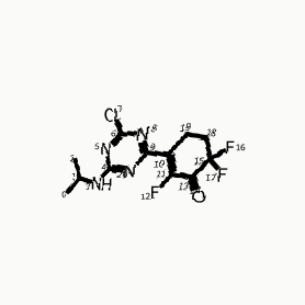 CC(C)Nc1nc(Cl)nc(C2=C(F)C(=O)C(F)(F)CC2)n1